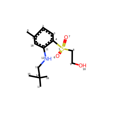 Cc1ccc(S(=O)(=O)CCO)c(NCC(C)(C)C)c1